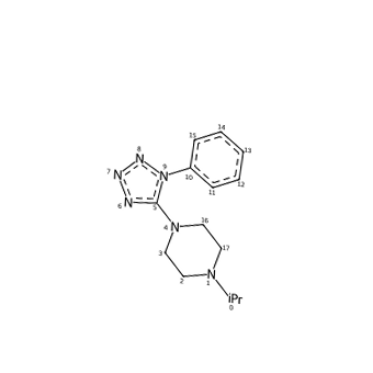 CC(C)N1CCN(c2nnnn2-c2ccccc2)CC1